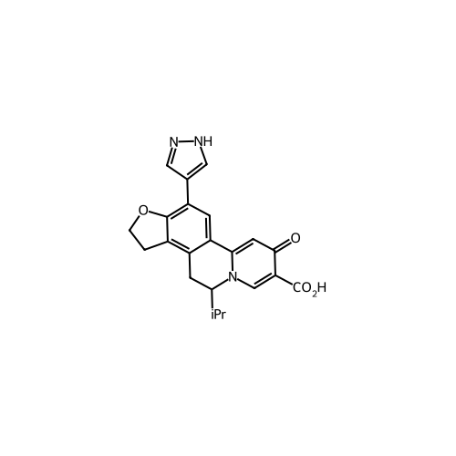 CC(C)C1Cc2c(cc(-c3cn[nH]c3)c3c2CCO3)-c2cc(=O)c(C(=O)O)cn21